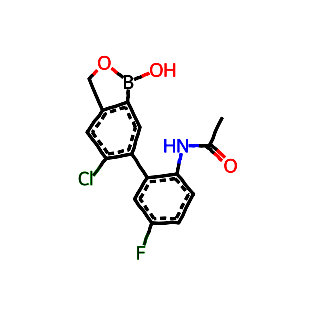 CC(=O)Nc1ccc(F)cc1-c1cc2c(cc1Cl)COB2O